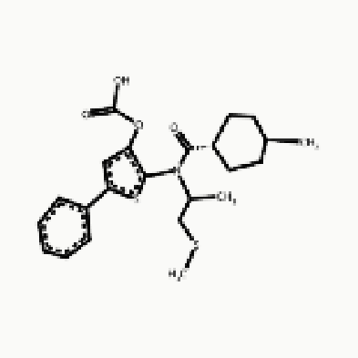 CSCC(C)N(c1sc(-c2ccccc2)cc1OC(=O)O)C(=O)[C@H]1CC[C@H](C)CC1